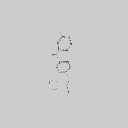 CCC(Oc1ccc(C(=O)c2ccc(N)c(N)c2)cc1)C1CCCN1